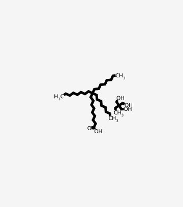 CCC(CO)(CO)CO.CCCCCCCCC(CCCCCCCC)(CCCCCCCC)CCCCCCCCC(=O)O